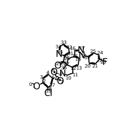 COc1ccc(S(=O)(=O)N2CCC3=Cc4c(cnn4-c4ccc(F)cc4)CC3(C(=O)c3ccccn3)C2)cc1Cl